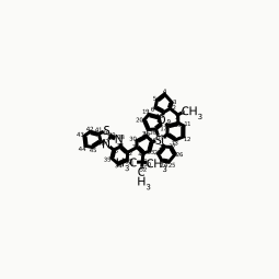 CC1c2ccccc2Oc2c1cccc2[Si](c1ccccc1)(c1ccccc1)c1ccc(-c2cccc3c2nc2sc4ccccc4n23)c(C(C)(C)C)c1